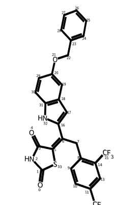 O=C1NC(=O)/C(=C(/Cc2ccc(C(F)(F)F)cc2C(F)(F)F)c2cc3cc(OCc4ccccc4)ccc3[nH]2)S1